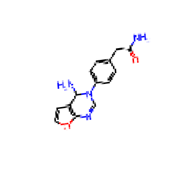 NC(=O)Cc1ccc(N2C=Nc3occc3C2N)cc1